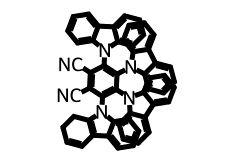 N#Cc1c(C#N)c(-n2c3ccccc3c3ccccc32)c(-n2c3ccccc3c3ccccc32)c(-n2c3ccccc3c3ccccc32)c1-n1c2c(c3ccccc31)C=CCC2